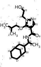 CC(C)COc1c(C(=O)NC(C)C2CC3CCCC(C3)C2)cnn1CCO